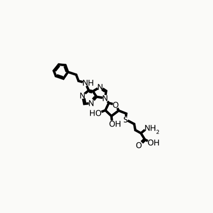 NC(CCSCC1OC(n2cnc3c(NCCc4ccccc4)ncnc32)C(O)C1O)C(=O)O